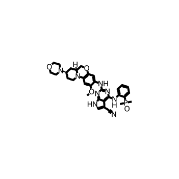 COc1cc2c(cc1Nc1nc(Nc3ccccc3P(C)(C)=O)c3c(C#N)c[nH]c3n1)OC[C@H]1C[C@H](N3CCOCC3)CCN21